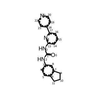 O=C(Nc1ccc2c(c1)CCC2)Nc1cccc(-c2ccncc2)n1